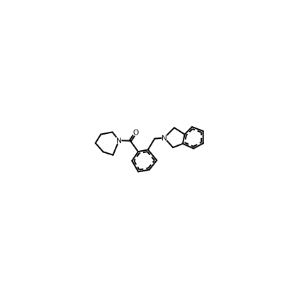 O=C(c1ccccc1CN1Cc2ccccc2C1)N1CCCCC1